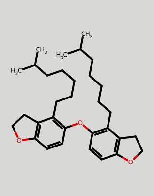 CC(C)CCCCCc1c(Oc2ccc3c(c2CCCCCC(C)C)CCO3)ccc2c1CCO2